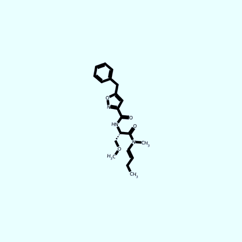 CC/C=C/N(C)C(=O)[C@H](COC)NC(=O)c1cc(Cc2ccccc2)on1